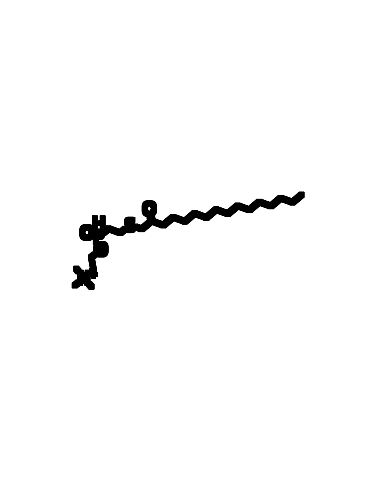 CCCCCCCCCCCCCCC(=O)CSCC[PH](=O)OCC[N+](C)(C)C